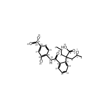 CCCC(CC(C)Cl)(C(=O)O)c1ccccc1C(=O)Nc1ccc([N+](=O)[O-])cc1Cl